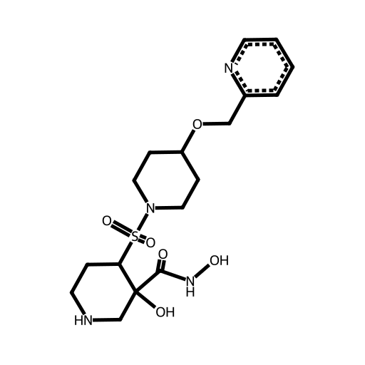 O=C(NO)C1(O)CNCCC1S(=O)(=O)N1CCC(OCc2ccccn2)CC1